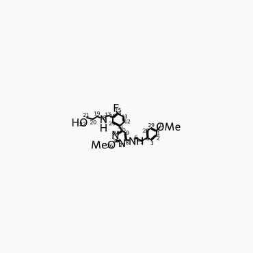 COc1ccc(CCNc2cc(-c3ccc(F)c(CNCCCO)c3)nc(OC)n2)cc1